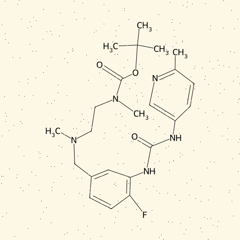 Cc1ccc(NC(=O)Nc2cc(CN(C)CCN(C)C(=O)OC(C)(C)C)ccc2F)cn1